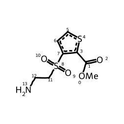 COC(=O)c1sccc1S(=O)(=O)CCN